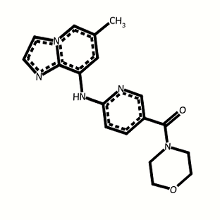 Cc1cc(Nc2ccc(C(=O)N3CCOCC3)cn2)c2nccn2c1